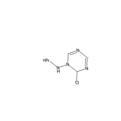 CCCNN1C=N[C]=NC1Cl